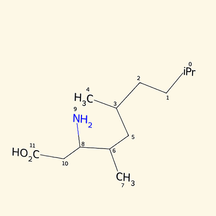 CC(C)CCC(C)CC(C)C(N)CC(=O)O